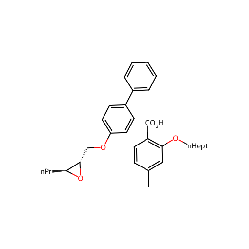 CCCCCCCOc1cc(C)ccc1C(=O)O.CCC[C@@H]1O[C@H]1COc1ccc(-c2ccccc2)cc1